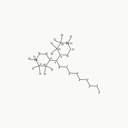 CCCCCCCCCC(C1CCN(C)C(C)(C)C1(C)C)C1CCN(C)C(C)(C)C1(C)C